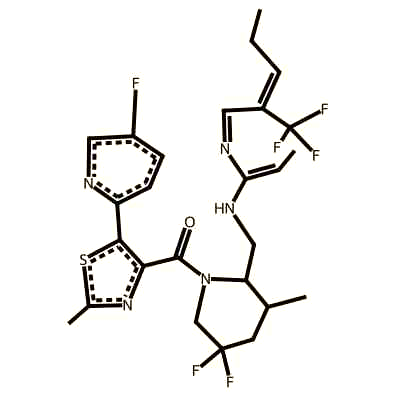 C\C=C(/N=C\C(=C/CC)C(F)(F)F)NCC1C(C)CC(F)(F)CN1C(=O)c1nc(C)sc1-c1ccc(F)cn1